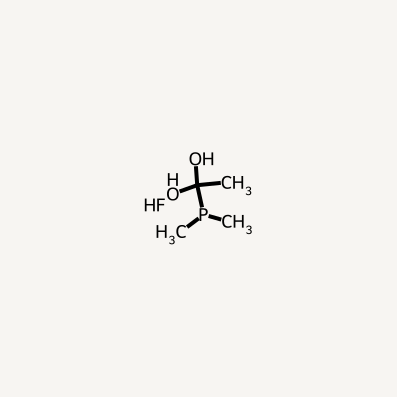 CP(C)C(C)(O)O.F